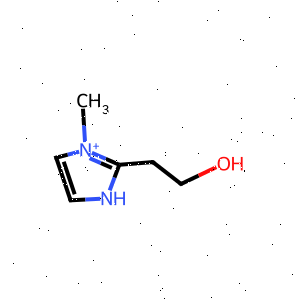 C[n+]1cc[nH]c1CCO